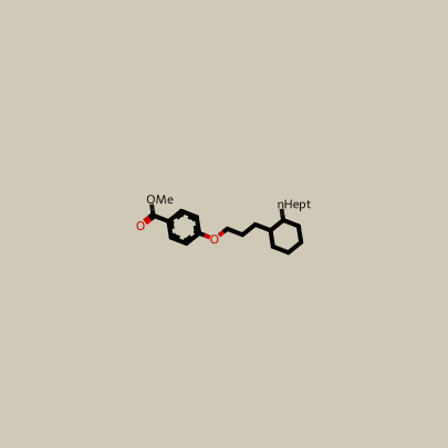 CCCCCCCC1CCCCC1CCCOc1ccc(C(=O)OC)cc1